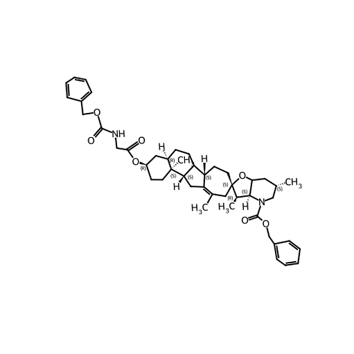 CC1=C2C[C@H]3C(CC[C@@H]4C[C@H](OC(=O)CNC(=O)OCc5ccccc5)CC[C@@]43C)[C@@H]2CC[C@@]2(C1)OC1C[C@H](C)CN(C(=O)OCc3ccccc3)[C@H]1[C@H]2C